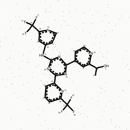 CC(O)c1cc(-c2nc(Nc3ccnc(C(F)(F)F)c3)nc(-c3cccc(C(F)(F)F)n3)n2)ccn1